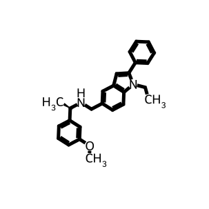 CCn1c(-c2ccccc2)cc2cc(CN[C@H](C)c3cccc(OC)c3)ccc21